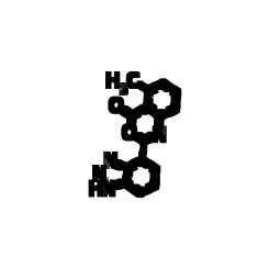 Cc1cccc2nc(-c3cccc4[nH]nnc34)oc(=O)c12